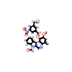 COc1cc(C)c(/N=C\C2Cc3ccccc3N2C=O)cc1OCc1cc(CCl)cc([N+](=O)[O-])c1